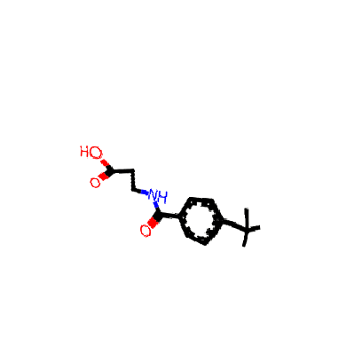 CC(C)(C)c1ccc(C(=O)NCCC(=O)O)cc1